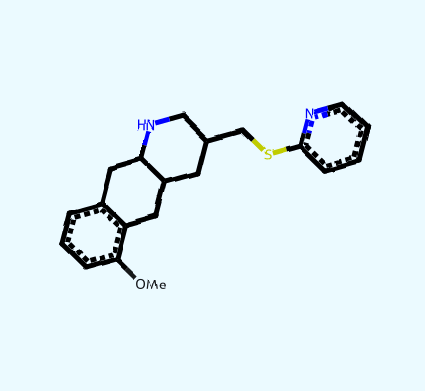 COc1cccc2c1CC1CC(CSc3ccccn3)CNC1C2